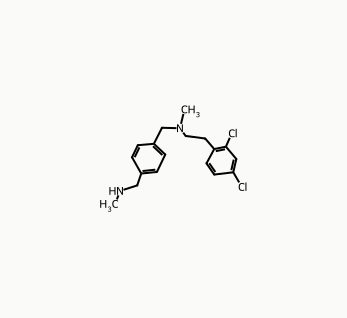 CNCc1ccc(CN(C)CCc2ccc(Cl)cc2Cl)cc1